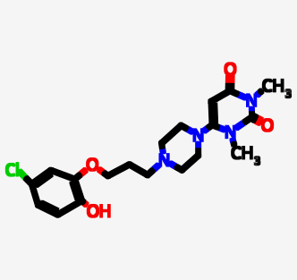 Cn1c(N2CCN(CCCOc3cc(Cl)ccc3O)CC2)cc(=O)n(C)c1=O